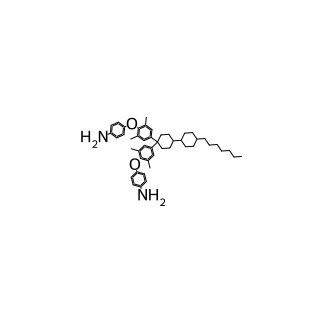 CCCCCCCC1CCC(C2CCC(c3cc(C)c(Oc4ccc(N)cc4)c(C)c3)(c3cc(C)c(Oc4ccc(N)cc4)c(C)c3)CC2)CC1